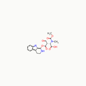 COC(=O)N(C)[C@H](C(=O)O)C(C=O)C(=O)OC1=C2N=c3ccccc3=C2CCN1